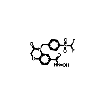 O=C(NO)c1ccc2c(c1)N(Cc1ccc(S(=O)(=O)C(F)F)cc1)C(=O)CO2